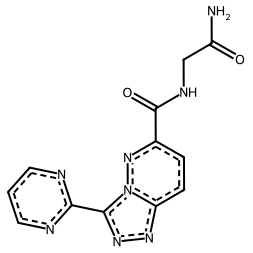 NC(=O)CNC(=O)c1ccc2nnc(-c3ncccn3)n2n1